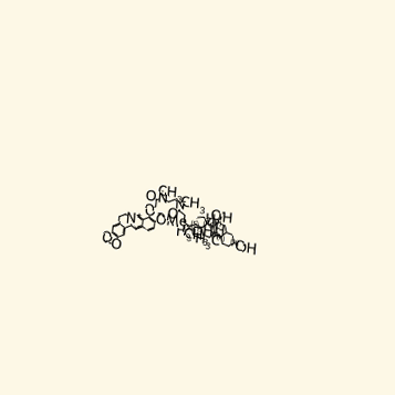 COc1ccc2cc3[n+](cc2c1OCC(=O)N(C)CCN(C)C(=O)CC[C@H](C)[C@@H]1CC[C@@H]2[C@H]4[C@H](O)CC5C[C@H](O)CC[C@@]5(C)[C@@H]4CC[C@]21C)CCc1cc2c(cc1-3)OCO2